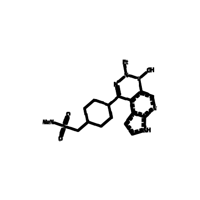 CCN1N=C(C2CCC(CS(=O)(=O)NC)CC2)c2c(cnc3[nH]ccc23)B1O